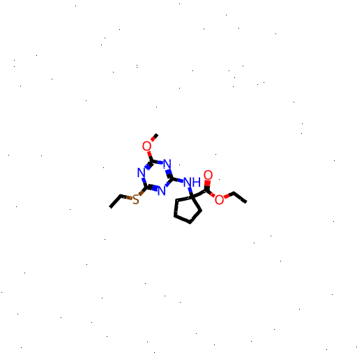 CCOC(=O)C1(Nc2nc(OC)nc(SCC)n2)CCCC1